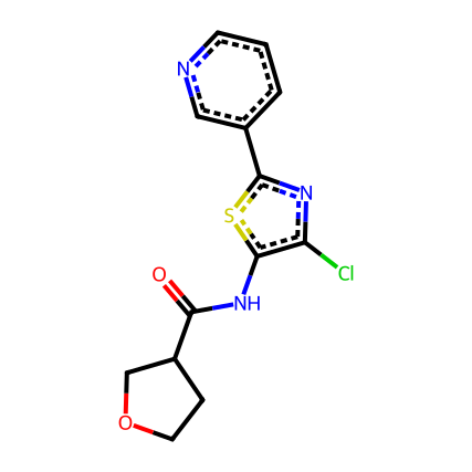 O=C(Nc1sc(-c2cccnc2)nc1Cl)C1CCOC1